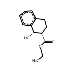 CCOC(=O)[C@H]1CCc2ccccc2[C@H]1O